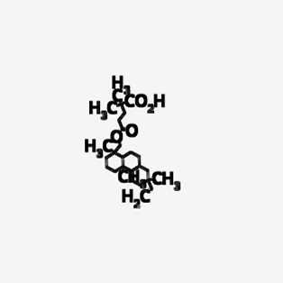 C=CC1(C)CC=C2C(CCC3C(C)(COC(=O)CCC(C)(C)C(=O)O)CCCC23C)C1